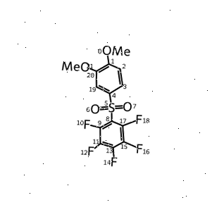 COc1ccc(S(=O)(=O)c2c(F)c(F)c(F)c(F)c2F)cc1OC